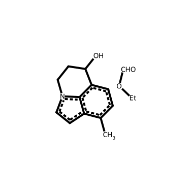 CCOC=O.Cc1ccc2c3c1ccn3CCC2O